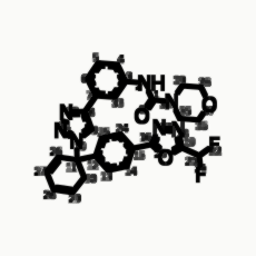 O=C(Nc1cccc(-c2cn(C3(c4ccc(-c5nnc(C(F)F)o5)cc4)C=CC=CC3)nn2)c1)N1CCOCC1